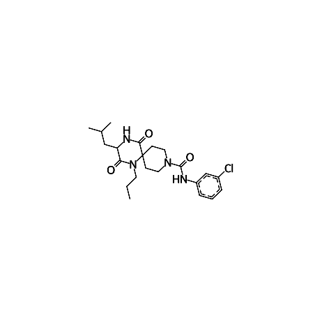 CCCN1C(=O)C(CC(C)C)NC(=O)C12CCN(C(=O)Nc1cccc(Cl)c1)CC2